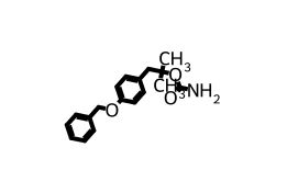 CC(C)(Cc1ccc(OCc2ccccc2)cc1)OC(N)=O